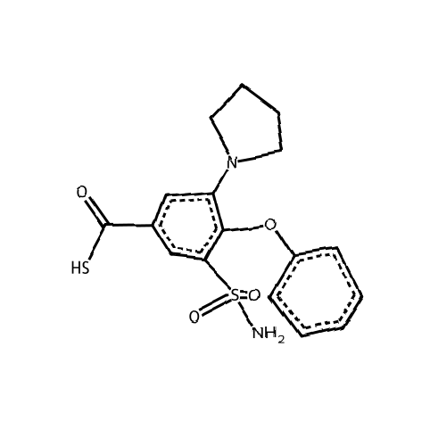 NS(=O)(=O)c1cc(C(=O)S)cc(N2CCCC2)c1Oc1ccccc1